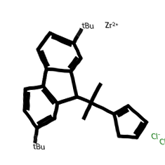 CC(C)(C)c1ccc2c(c1)C(C(C)(C)C1=CC=CC1)c1cc(C(C)(C)C)ccc1-2.[Cl-].[Cl-].[Zr+2]